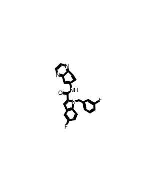 O=C(Nc1ccc2nccnc2c1)c1cc2cc(F)ccc2n1Cc1cccc(F)c1